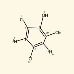 [2H]c1c(Cl)c([2H])c(Cl)c(O)c1Cl